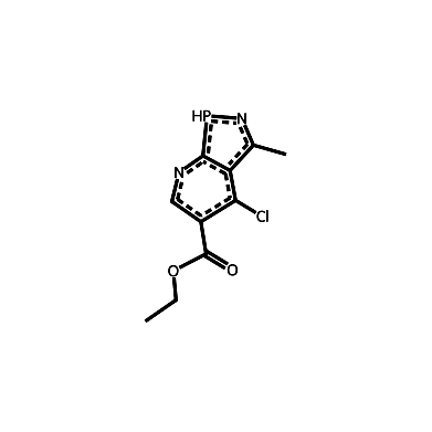 CCOC(=O)c1cnc2[pH]nc(C)c2c1Cl